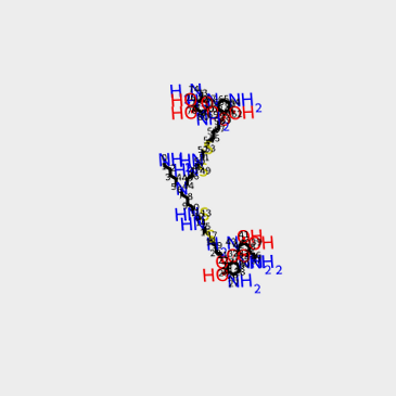 NCCCCCN(CCCCNC(=S)NCCSCCCCOC1C(O)[C@H](N)CC(N)[C@H]1O[C@H]1OC(CN)[C@@H](O)C(O)C1N)CCCNC(=S)NCCSCCCCCOC1C(O)[C@H](N)CC(N)[C@H]1O[C@H]1OC(CN)[C@@H](O)C(O)C1N